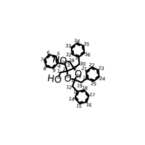 OCC1(Cc2ccccc2)OC(Cc2ccccc2)(Cc2ccccc2)OC1(CO)Cc1ccccc1